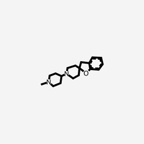 CN1CCC(N2CCC3(CC2)Cc2ccccc2O3)CC1